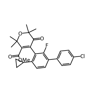 COC(=O)C1=C(c2c(C3CC3)ccc(-c3ccc(Cl)cc3)c2F)C(=O)C(C)(C)OC1(C)C